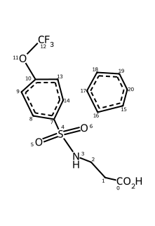 O=C(O)CCNS(=O)(=O)c1ccc(OC(F)(F)F)cc1.c1ccccc1